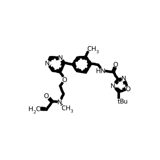 C=CC(=O)N(C)CCOc1cncnc1-c1ccc(CNC(=O)c2noc(C(C)(C)C)n2)c(C)c1